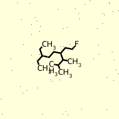 CCC(CC)CCC(CCF)C(C)C(C)C